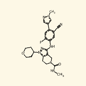 CNC(=O)N1CCc2c(c(Nc3cc(C#N)c(-c4cnn(C)c4)cc3F)nn2C2CCOCC2)C1